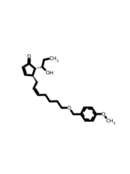 CCC(O)[C@H]1C(=O)C=C[C@@H]1C/C=C\CCCCOCc1ccc(OC)cc1